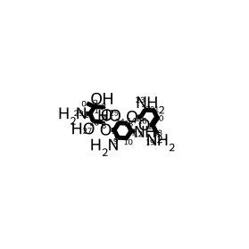 CC1(O)COC(OC2C(N)CC(N)C(OC3OC(CN)=CCC3N)C2O)C(O)C1N